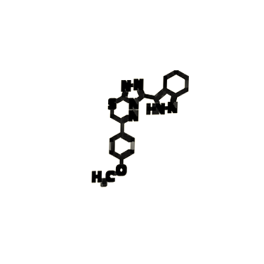 COc1ccc(C2=Nn3c(nnc3-c3[nH]nc4c3CCCC4)SC2)cc1